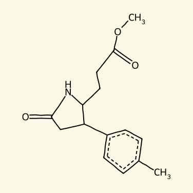 COC(=O)CCC1NC(=O)CC1c1ccc(C)cc1